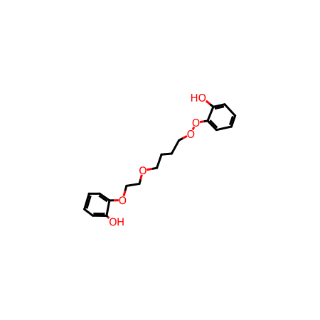 Oc1ccccc1OCCOCCCCOOc1ccccc1O